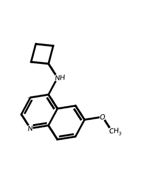 COc1ccc2nc[c]c(NC3CCC3)c2c1